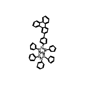 c1ccc(B2N(c3ccccc3)B(c3ccccc3)N3B(c4ccccc4)N(c4ccc(-c5ccc6c7ccccc7c7ccccc7c6c5)cc4)B(c4ccccc4)N23)cc1